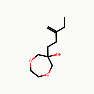 C=C(CC)CCC1(O)COCCOC1